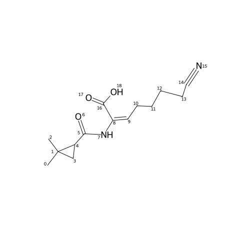 CC1(C)CC1C(=O)NC(=CCCCCC#N)C(=O)O